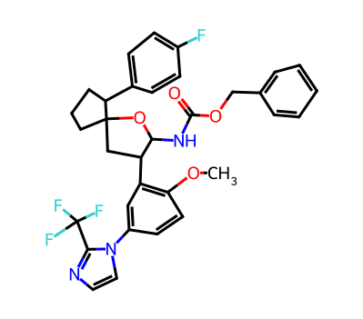 COc1ccc(-n2ccnc2C(F)(F)F)cc1C1CC2(CCCC2c2ccc(F)cc2)OC1NC(=O)OCc1ccccc1